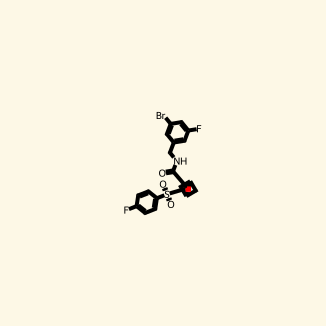 O=C(NCc1cc(F)cc(Br)c1)C1C2CC(C2)N1S(=O)(=O)c1ccc(F)cc1